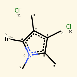 Cc1c(C)[c]([Ti+2])n(C)c1C.[Cl-].[Cl-]